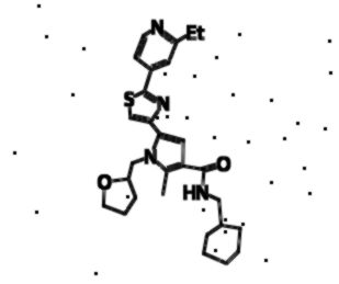 CCc1cc(-c2nc(-c3cc(C(=O)NCC4CCCCC4)c(C)n3CC3CCCO3)cs2)ccn1